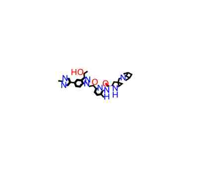 Cc1ncc(-c2ccc3c(c2)c(C(C)O)nn3CC(=O)c2ccc(C)c(NC(=O)[C@@H]3CC4(CN5CC6CC(C6)C5)CC4N3)n2)cn1